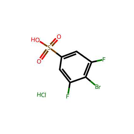 Cl.O=S(=O)(O)c1cc(F)c(Br)c(F)c1